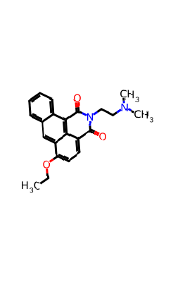 CCOc1ccc2c3c(c4ccccc4cc13)C(=O)N(CCN(C)C)C2=O